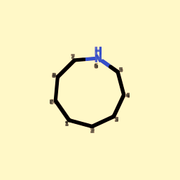 [CH]1CCCCCNCC1